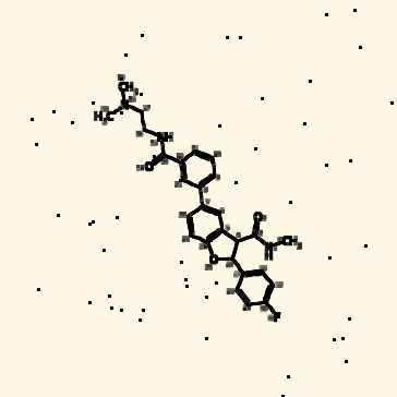 CNC(=O)C1c2cc(-c3cccc(C(=O)NCCN(C)C)c3)ccc2OC1c1ccc(F)cc1